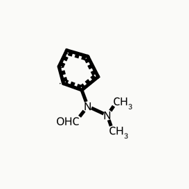 CN(C)N(C=O)c1[c]cccc1